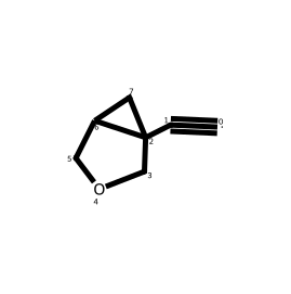 [C]#CC12COCC1C2